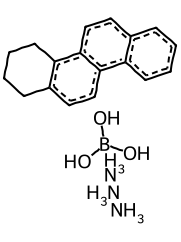 N.N.N.OB(O)O.c1ccc2c(c1)ccc1c3c(ccc12)CCCC3